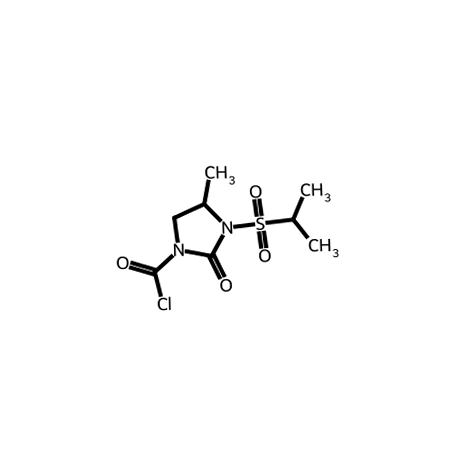 CC1CN(C(=O)Cl)C(=O)N1S(=O)(=O)C(C)C